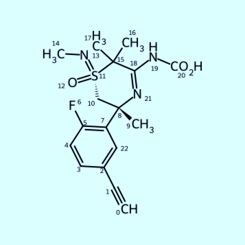 C#Cc1ccc(F)c([C@]2(C)C[S@](=O)(=NC)C(C)(C)C(NC(=O)O)=N2)c1